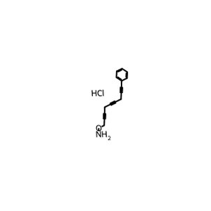 Cl.NOCC#CCC#CCC#Cc1ccccc1